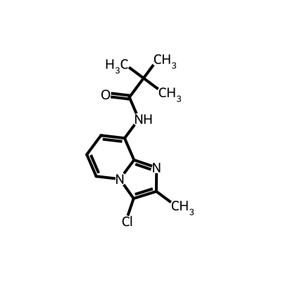 Cc1nc2c(NC(=O)C(C)(C)C)cccn2c1Cl